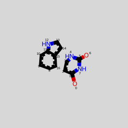 O=c1cc[nH]c(=O)[nH]1.c1ccc2[nH]ccc2c1